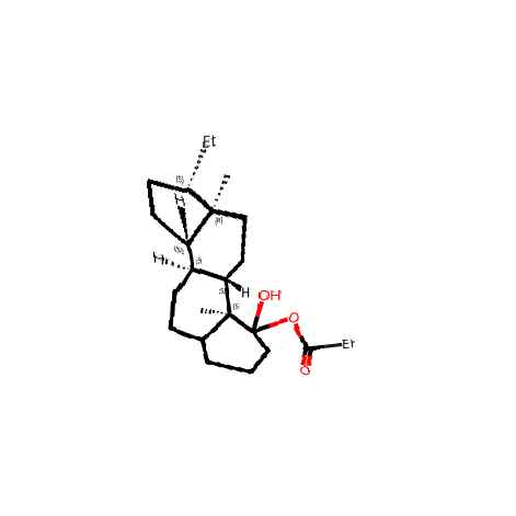 CCC(=O)OC1(O)CCCC2CC[C@H]3[C@@H]4CC[C@H](CC)[C@@]4(C)CC[C@@H]3[C@]21C